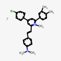 Cc1ccc(-c2cc(-c3ccc(Br)cc3)cc(/C=C/c3ccc(N(C)C)cc3)[n+]2C)cc1C.[I-]